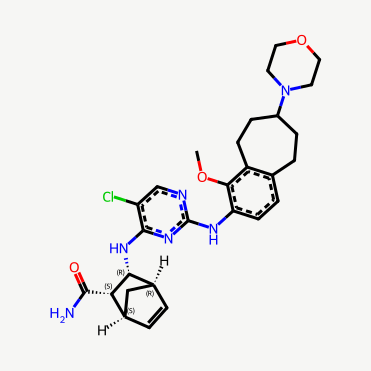 COc1c(Nc2ncc(Cl)c(N[C@H]3[C@@H](C(N)=O)[C@@H]4C=C[C@H]3C4)n2)ccc2c1CCC(N1CCOCC1)CC2